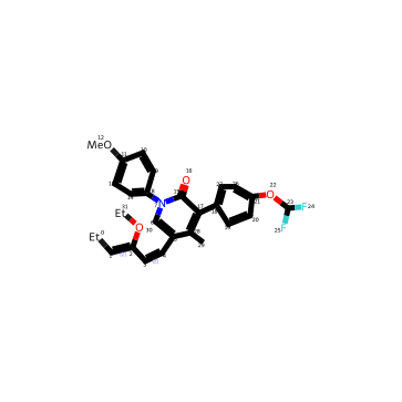 CC/C=C(/C=C\c1cn(-c2ccc(OC)cc2)c(=O)c(-c2ccc(OC(F)F)cc2)c1C)OCC